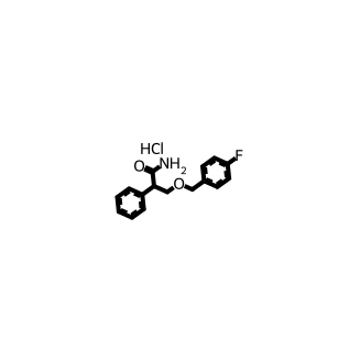 Cl.NC(=O)C(COCc1ccc(F)cc1)c1ccccc1